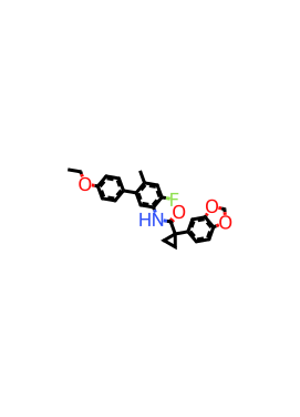 CCOc1ccc(-c2cc(NC(=O)C3(c4ccc5c(c4)OCO5)CC3)c(F)cc2C)cc1